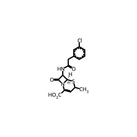 CC1C=C(C(=O)O)N2C(=O)C(NC(=O)Cc3cccc(Cl)c3)[C@H]2S1